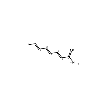 CC=CC=CC=CC(N)=O